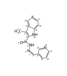 Cc1c(C(=O)N/N=C\c2cccnc2)[nH]c2ccccc12